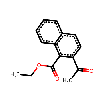 CCOC(=O)c1c(C(C)=O)ccc2ccccc12